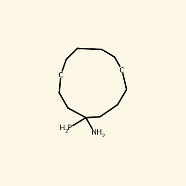 NC1(P)CCCCCCCCCCC1